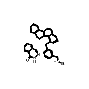 CCNCc1cccc(Cc2cccc3ccc4c(c23)CCC2=C4C=CCC2)c1.O=c1[nH]ncc2ccccc12